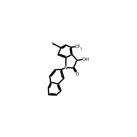 O=C1C(O)c2c(cc(I)cc2C(F)(F)F)N1c1ccc2ccccc2c1